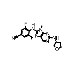 Cn1c(Nc2c(F)cc(C#N)cc2F)nc2cnc(N[C@@H]3CCOC3)nc21